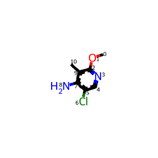 COc1ncc(Cl)c(N)c1C